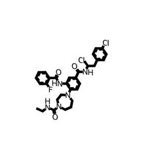 CCNC(=O)N1CCCN(c2ccc(C(=O)NC(Cl)Cc3ccc(Cl)cc3)cc2NC(=O)c2ccccc2F)CC1